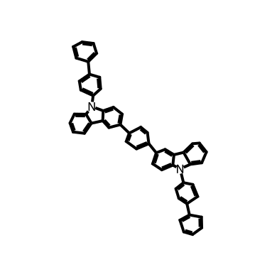 c1ccc(-c2ccc(-n3c4ccccc4c4cc(-c5ccc(-c6ccc7c(c6)c6ccccc6n7-c6ccc(-c7ccccc7)cc6)cc5)ccc43)cc2)cc1